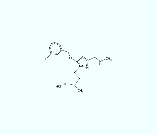 CNCc1cc(OCc2cccc(F)c2)n(CCC(C)C)n1.Cl